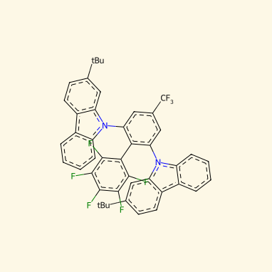 CC(C)(C)c1ccc2c3ccccc3n(-c3cc(C(F)(F)F)cc(-n4c5ccccc5c5ccc(C(C)(C)C)cc54)c3-c3c(F)c(F)c(F)c(F)c3F)c2c1